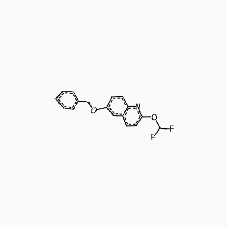 FC(F)Oc1ccc2cc(OCc3ccccc3)ccc2n1